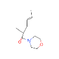 C/C=C/CC(C)C(=O)N1CCOCC1